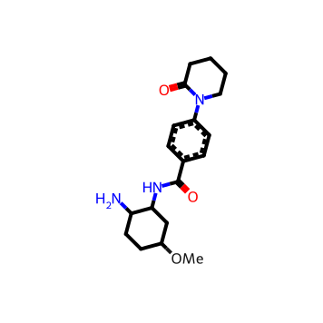 COC1CCC(N)C(NC(=O)c2ccc(N3CCCCC3=O)cc2)C1